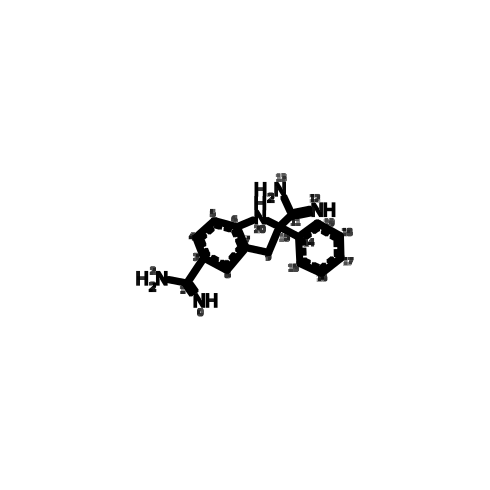 N=C(N)c1ccc2c(c1)CC(C(=N)N)(c1ccccc1)N2